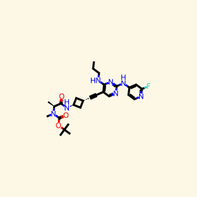 CCCNc1nc(Nc2ccnc(F)c2)ncc1C#C[C@H]1C[C@@H](NC(=O)[C@H](C)N(C)C(=O)OC(C)(C)C)C1